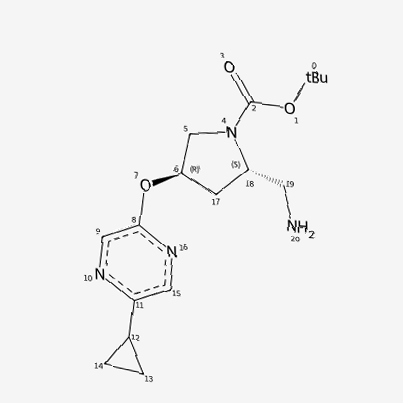 CC(C)(C)OC(=O)N1C[C@H](Oc2cnc(C3CC3)cn2)C[C@H]1CN